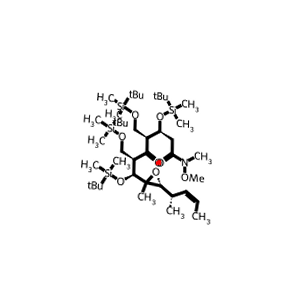 C/C=C\[C@H](C)[C@H]1OC1(C)[C@@H](O[Si](C)(C)C(C)(C)C)[C@@H](CO[Si](C)(C)C(C)(C)C)C(=O)[C@@H](CO[Si](C)(C)C(C)(C)C)[C@H](CC(=O)N(C)OC)O[Si](C)(C)C(C)(C)C